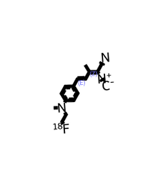 [C-]#[N+]/C(C#N)=C(C)\C=C\c1ccc(N(C)CC[18F])cc1